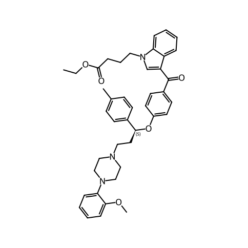 CCOC(=O)CCCn1cc(C(=O)c2ccc(O[C@@H](CCN3CCN(c4ccccc4OC)CC3)c3ccc(C)cc3)cc2)c2ccccc21